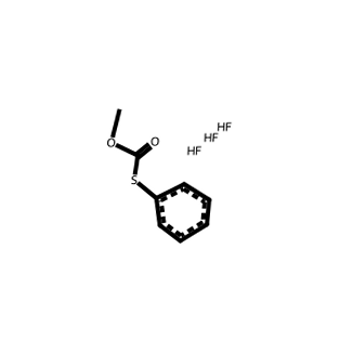 COC(=O)Sc1ccccc1.F.F.F